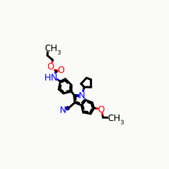 CCCOC(=O)Nc1ccc(-c2c(C#N)c3ccc(OCC)cc3n2C2CCCC2)cc1